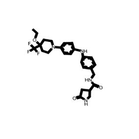 CCOC1(C(F)(F)F)CCN(c2ccc(Nc3ccc(CNC(=O)C4CNC(=O)C4)cc3)cc2)CC1